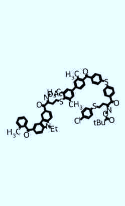 CCn1c2c(c3cc(C(=O)c4ccccc4C)ccc31)CC(C(=O)/C(CCSc1c(C)cc(-c3ccc(C(=O)c4ccc(Sc5ccc(C(=O)/C(CCSc6ccc(Cl)cc6)=N/OC(=O)C(C)(C)C)cc5)cc4)c(C)c3)cc1C)=N/OC(C)=O)C=C2